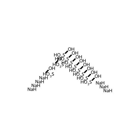 O=S(=O)(O)O.O=S(=O)(O)O.O=S(=O)(O)O.O=S(=O)(O)O.O=S(=O)(O)O.O=S(=O)(O)O.O=S(=O)(O)O.O=S(=O)(O)O.O=S(=O)(O)O.O=S(=O)(O)O.[NaH].[NaH].[NaH].[NaH].[NaH].[NaH].[NaH]